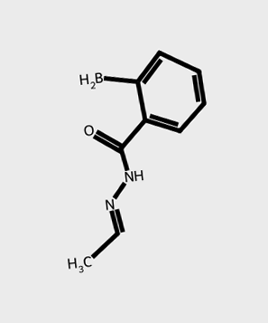 Bc1ccccc1C(=O)N/N=C/C